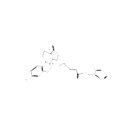 COc1ccc2c(c1)CC[C@H]1[C@@H]3[C@H](CCCCC(=O)NCc4ccccc4OC)CC(=O)[C@@]3(C)CC[C@H]21